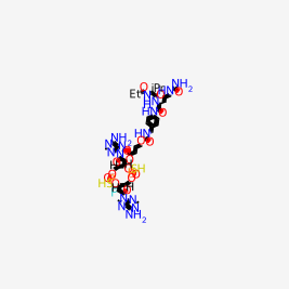 CCC(=O)N[C@H](C(=O)N[C@@H](CCCNC(N)=O)C(=O)Nc1ccc(CNC(=O)OCCCC(=O)O[C@@H]2[C@@H]3O[P@](=O)(S)OC[C@H]4O[C@@H](n5cnc6c(N)ncnc65)[C@H](F)[C@@H]4O[P@](=O)(S)OC[C@H]3O[C@H]2n2cnc3c(N)ncnc32)cc1)C(C)C